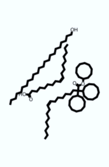 CCCCCCCC/C=C\CCCCCCC(C(=O)OC1CCCCCCCCC1)(C1CCCCCCCCC1)C1CCCCCCCCC1.CCCCCCCC/C=C\CCCCCCCC(=O)O.CCCCCCCCCCCCCCCCCCCCCCCO